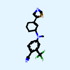 CN(c1ccc(C#N)c(C(F)(F)F)c1)C1C=C(c2cncs2)CCC1